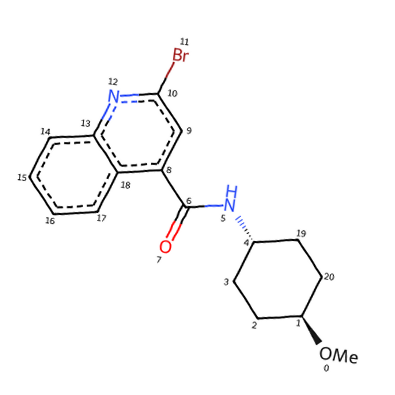 CO[C@H]1CC[C@H](NC(=O)c2cc(Br)nc3ccccc23)CC1